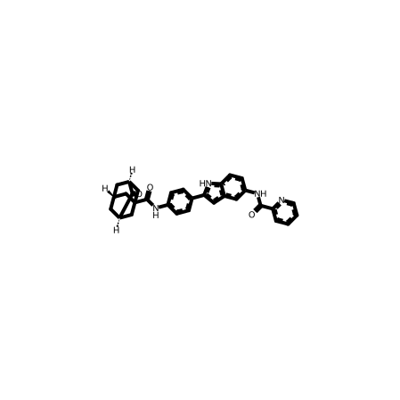 O=C(Nc1ccc2[nH]c(-c3ccc(NC(=O)C45C[C@@H]6C[C@H](C4)C(=O)[C@@H](C6)C5)cc3)cc2c1)c1ccccn1